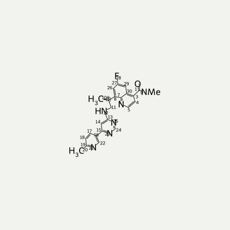 CNC(=O)c1ccnc2c([C@H](C)CNc3cc(-c4ccc(C)nc4)ncn3)cc(F)cc12